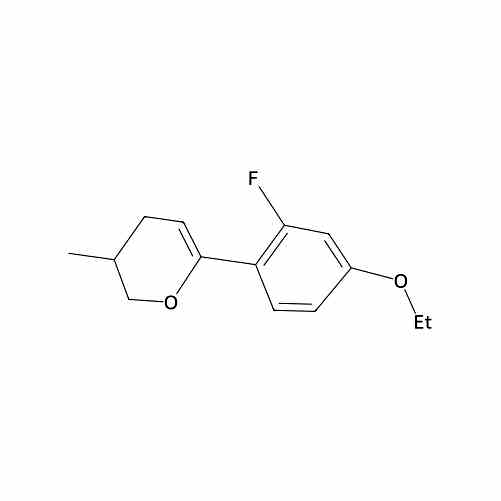 CCOc1ccc(C2=CCC(C)CO2)c(F)c1